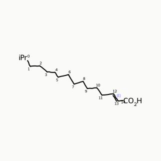 CC(C)CCCCCCCCCCC/C=C/C(=O)O